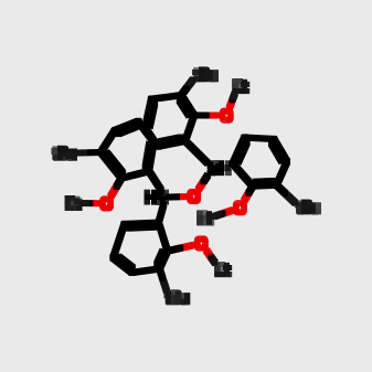 CCOc1c([SiH](O[SiH](c2cccc(C(C)(C)C)c2OCC)c2cccc(C(C)(C)C)c2OCC)c2cccc(C(C)(C)C)c2OCC)cccc1C(C)(C)C